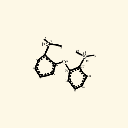 C[SiH](C)c1ccccc1Oc1ccccc1[SiH](C)C